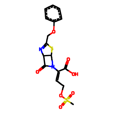 CS(=O)(=O)OCC=C(C(=O)O)N1C(=O)C2N=C(COc3ccccc3)SC21